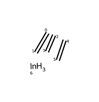 C=C.C=C.C=C.[InH3]